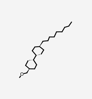 CCCCCCCCC[C@H]1CC[C@H]([C@H]2CC[C@H](COC)CC2)CC1